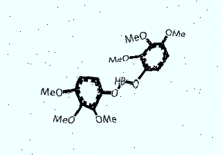 COc1ccc(OBOc2ccc(OC)c(OC)c2OC)c(OC)c1OC